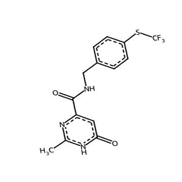 Cc1nc(C(=O)NCc2ccc(SC(F)(F)F)cc2)cc(=O)[nH]1